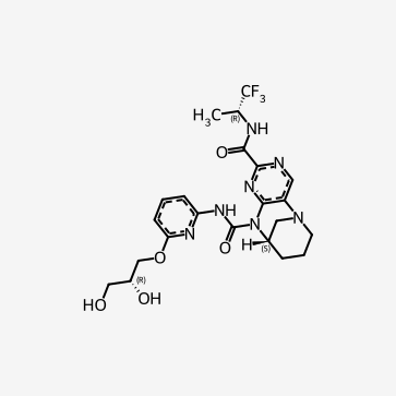 C[C@@H](NC(=O)c1ncc2c(n1)N(C(=O)Nc1cccc(OC[C@H](O)CO)n1)[C@H]1CCCN2C1)C(F)(F)F